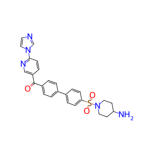 NC1CCN(S(=O)(=O)c2ccc(-c3ccc(C(=O)c4ccc(-n5ccnc5)nc4)cc3)cc2)CC1